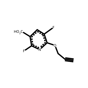 C#CCOc1nc(F)c(C(=O)O)cc1F